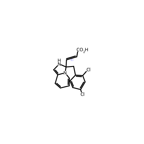 O=C(O)/C=C/C1(Cc2ccc(Cl)cc2Cl)NC=C2C=CC=CN21